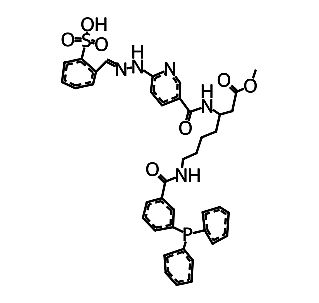 COC(=O)CC(CCCCNC(=O)c1cccc(P(c2ccccc2)c2ccccc2)c1)NC(=O)c1ccc(NN=Cc2ccccc2S(=O)(=O)O)nc1